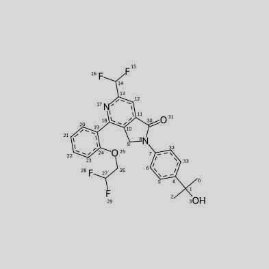 CC(C)(O)c1ccc(N2Cc3c(cc(C(F)F)nc3-c3ccccc3OCC(F)F)C2=O)cc1